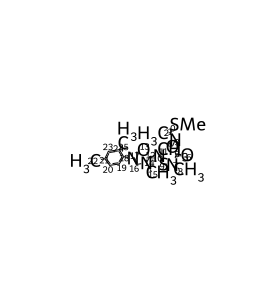 CSC(C)=NOC(=O)N(C)SN(C)C(=O)N(C)C=Nc1ccc(C)cc1C